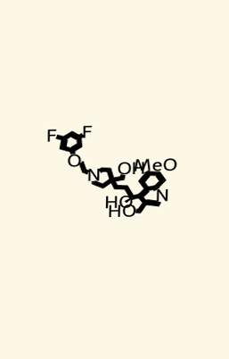 COc1ccc2ncc(CO)c([C@@H](O)CCC3(CO)CCN(CCOc4cc(F)cc(F)c4)CC3)c2c1